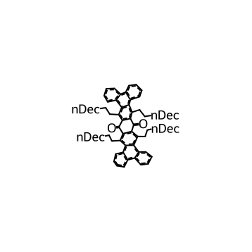 CCCCCCCCCCCCc1c2c(c(CCCCCCCCCCCC)c3c4ccccc4c4ccccc4c13)C(=O)c1c(c(CCCCCCCCCCCC)c3c4ccccc4c4ccccc4c3c1CCCCCCCCCCCC)C2=O